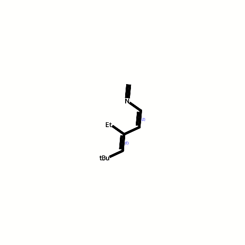 C=N/C=C\C(=C\C(C)(C)C)CC